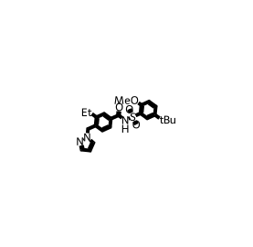 CCc1cc(C(=O)NS(=O)(=O)c2cc(C(C)(C)C)ccc2OC)ccc1Cn1cccn1